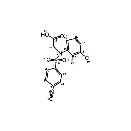 [C-]#[N+]c1ccc(S(=O)(=O)N(CC(=O)O)c2cccc(Cl)c2C)cc1